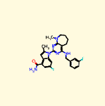 Cc1cc2c(C(N)=O)cc(F)cc2n1-c1nc(NCc2cccc(F)c2)c2c(n1)N(C)CCCC2